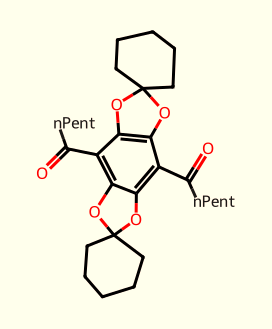 CCCCCC(=O)c1c2c(c(C(=O)CCCCC)c3c1OC1(CCCCC1)O3)OC1(CCCCC1)O2